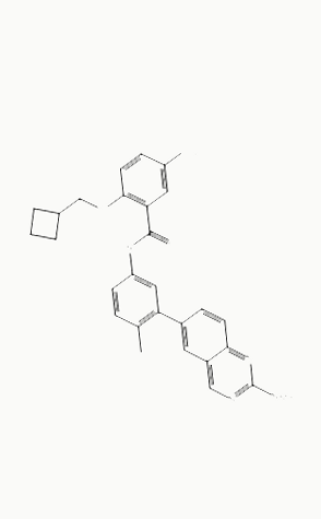 CNc1ncc2cc(-c3cc(NC(=O)c4cc(C(F)(F)F)ccc4OCC4CCC4)ccc3C)ccc2n1